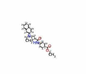 CCOC(=O)c1ccc(NC(=O)C2CC(N(CC)c3ccc4ccccc4c3)C2)cc1